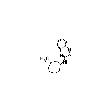 CC1CCCC[C@H](Nc2nnc3ccccc3n2)C1